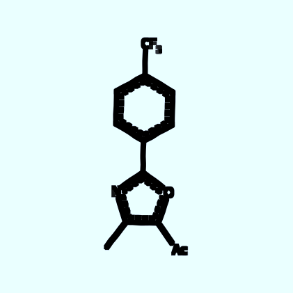 CC(=O)c1oc(-c2ccc(C(F)(F)F)cc2)nc1C